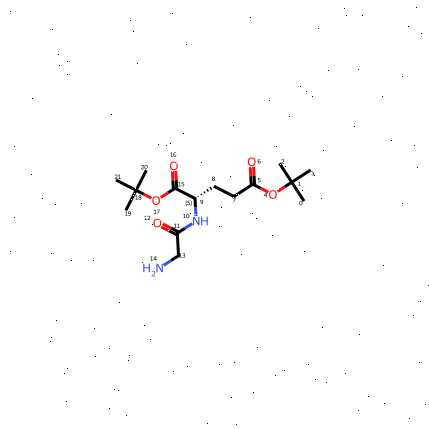 CC(C)(C)OC(=O)CC[C@H](NC(=O)CN)C(=O)OC(C)(C)C